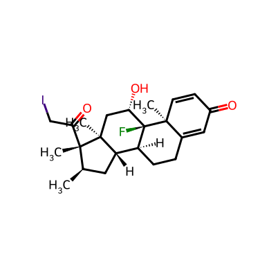 C[C@@H]1C[C@H]2[C@@H]3CCC4=CC(=O)C=C[C@]4(C)[C@@]3(F)[C@@H](O)C[C@]2(C)[C@@]1(C)C(=O)CI